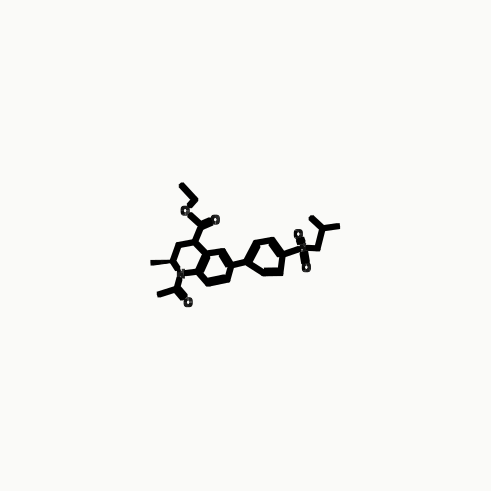 CCOC(=O)C1C[C@H](C)N(C(C)=O)c2ccc(-c3ccc(S(=O)(=O)CC(C)C)cc3)cc21